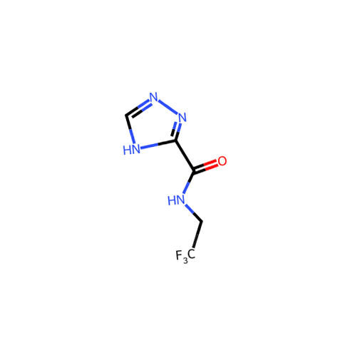 O=C(NCC(F)(F)F)c1nnc[nH]1